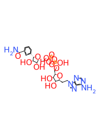 NC(=O)c1cccc([C@@H]2O[C@H](COP(=O)(O)OP(=O)(O)OC[C@H]3O[C@@H](CCn4cnc5c(N)ncnc54)C(O)[C@H]3O)C(O)[C@@H]2O)c1